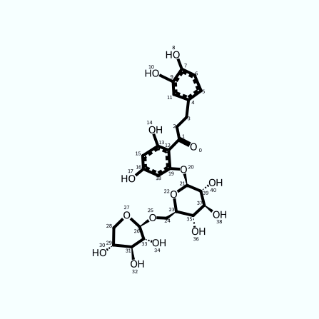 O=C(CCc1ccc(O)c(O)c1)c1c(O)cc(O)cc1O[C@@H]1O[C@H](CO[C@@H]2OC[C@@H](O)[C@H](O)[C@H]2O)[C@@H](O)[C@H](O)[C@H]1O